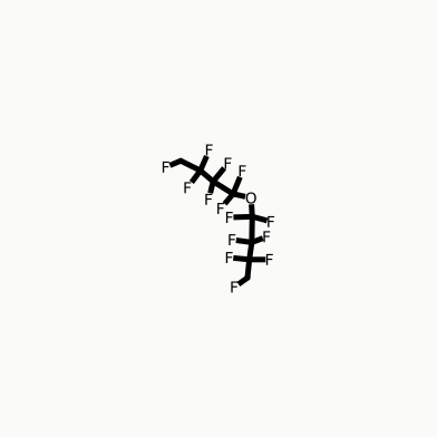 FCC(F)(F)C(F)(F)C(F)(F)OC(F)(F)C(F)(F)C(F)(F)CF